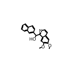 COc1cc2ccnc(C(O)c3ccc4ccccc4c3)c2cc1OC